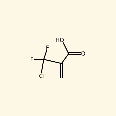 C=C(C(=O)O)C(F)(F)Cl